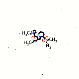 CCCCc1cc2n(c1C(=O)c1cccn1CC)CCCCC2C(=O)OC(C)C